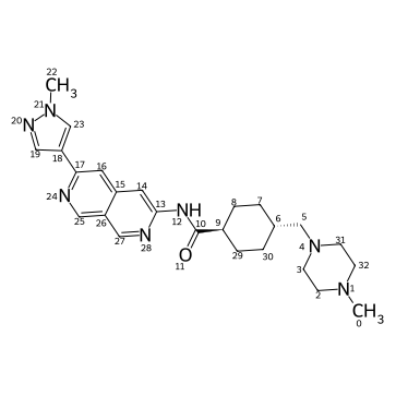 CN1CCN(C[C@H]2CC[C@H](C(=O)Nc3cc4cc(-c5cnn(C)c5)ncc4cn3)CC2)CC1